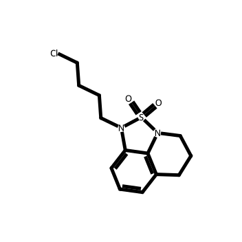 O=S1(=O)N(CCCCCl)c2cccc3c2N1CCC3